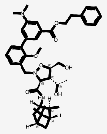 COc1c(CN2O[C@@H](CO)[C@H]([C@H](C)O)[C@H]2C(=O)N[C@H]2C[C@H]3C[C@@H]([C@@H]2C)C3(C)C)cccc1-c1cc(C(=O)OCCc2ccccc2)cc(N(C)C)c1